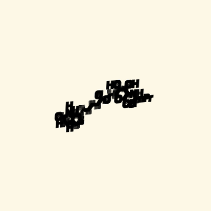 CCCC(=O)N[C@H]1C(O)O[C@H](COC(=O)CCCC[C@@H]2SC[C@@H]3NC(=O)N[C@@H]32)[C@@H](O)[C@@H]1O